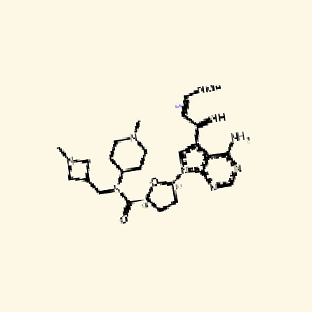 CN/C=C\C(=N)c1cn([C@H]2CC[C@@H](C(=O)N(CC3CN(C)C3)C3CCN(C)CC3)O2)c2ncnc(N)c12